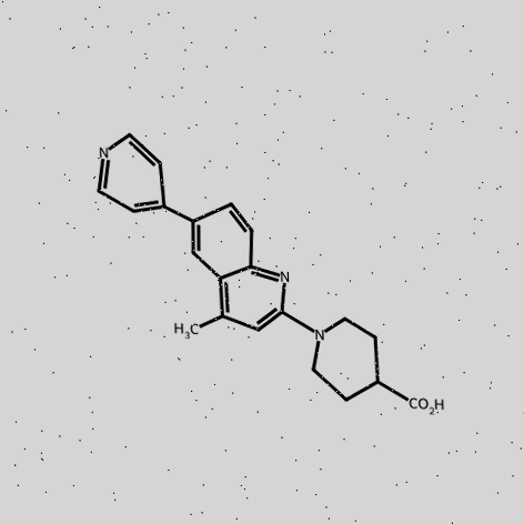 Cc1cc(N2CCC(C(=O)O)CC2)nc2ccc(-c3ccncc3)cc12